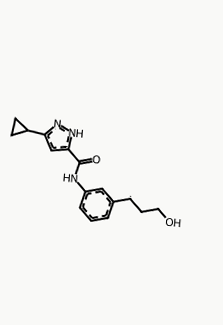 O=C(Nc1cccc([CH]CCO)c1)c1cc(C2CC2)n[nH]1